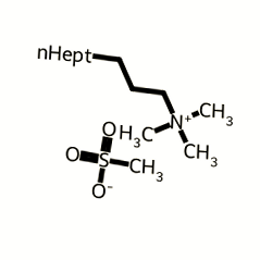 CCCCCCCCCC[N+](C)(C)C.CS(=O)(=O)[O-]